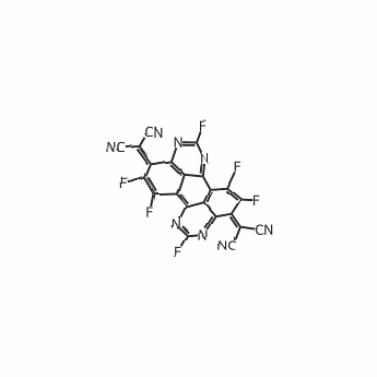 N#CC(C#N)=c1c(F)c(F)c2c3nc(F)nc4c(=C(C#N)C#N)c(F)c(F)c(c5nc(F)nc1c52)c43